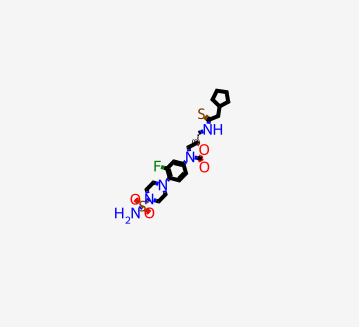 NS(=O)(=O)N1CCN(c2ccc(N3C[C@H](CNC(=S)CC4CCCC4)OC3=O)cc2F)CC1